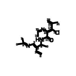 C=C/C(=C\N=C(C)C)C(C)NC(=O)C(/N=C\C)=C(\Cl)C(=C)C